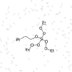 CCOO[Si](OCCC(C)C)(OOCC)OOCC